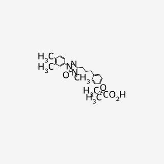 Cc1ccc(-n2nc(CCCc3ccc(OC(C)(C)C(=O)O)cc3)n(C)c2=O)cc1C